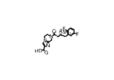 O=C(O)c1cn2c(n1)CN(C(=O)C[C@H]([AsH2])Cc1cc(F)ccc1F)CC2